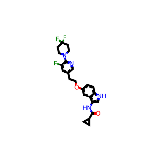 O=C(Nc1c[nH]c2ccc(OCCc3cnc(N4CCC(F)(F)CC4)c(F)c3)cc12)C1CC1